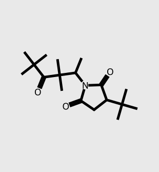 CC(N1C(=O)CC(C(C)(C)C)C1=O)C(C)(C)C(=O)C(C)(C)C